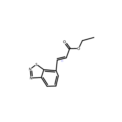 CCOC(=O)/C=C/c1cccc2nnsc12